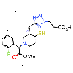 COC(=O)C(c1ccccc1F)N1CCC(S)/C(=C\c2nnn(CCC(=O)O)n2)C1